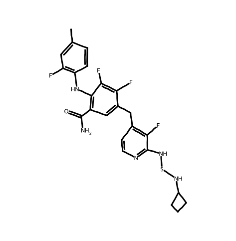 Cc1ccc(Nc2c(C(N)=O)cc(Cc3ccnc(NSNC4CCC4)c3F)c(F)c2F)c(F)c1